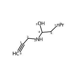 C#CCNC(O)CCCC